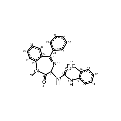 CN1C(=O)C(NC(=S)Nc2ccccc2C(F)(F)F)N=C(c2ccccc2)c2ccccc21